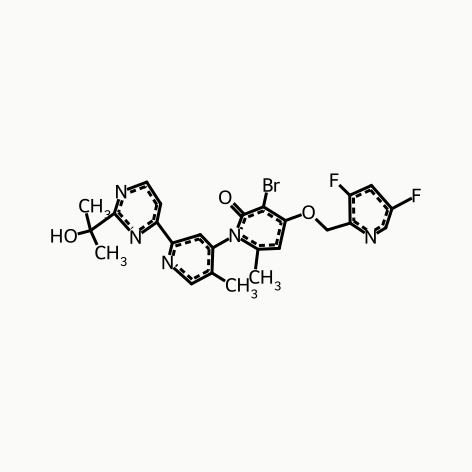 Cc1cnc(-c2ccnc(C(C)(C)O)n2)cc1-n1c(C)cc(OCc2ncc(F)cc2F)c(Br)c1=O